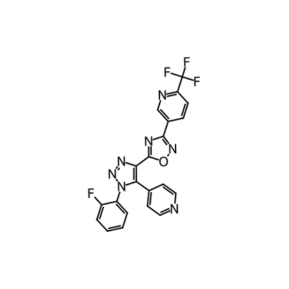 Fc1ccccc1-n1nnc(-c2nc(-c3ccc(C(F)(F)F)nc3)no2)c1-c1ccncc1